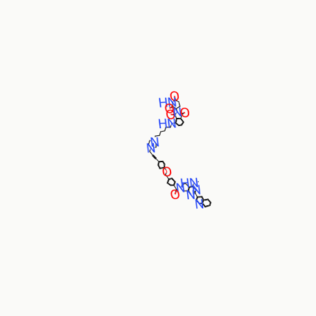 CNc1nc(-c2cnc3ccccc3c2)nc2c1CCN(C(=O)c1ccc(COc3ccc(C#CCN4CCN(CCCCCCNc5cccc6c5C(=O)N(C5CCC(=O)NC5=O)C6=O)CC4)cc3)cc1)C2